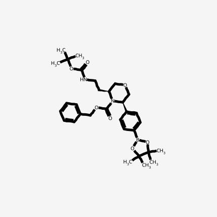 CC(C)(C)OC(=O)NCC[C@H]1COC[C@@H](c2ccc(B3OC(C)(C)C(C)(C)O3)cc2)N1C(=O)OCc1ccccc1